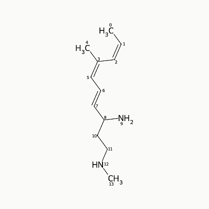 C\C=C/C(C)=C\C=C\C(N)CCNC